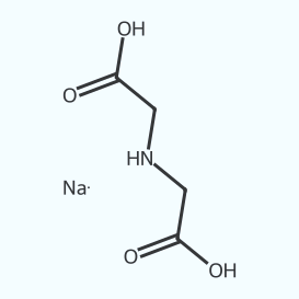 O=C(O)CNCC(=O)O.[Na]